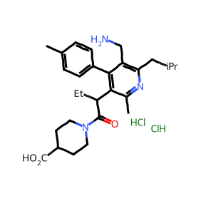 CCC(C(=O)N1CCC(C(=O)O)CC1)c1c(C)nc(CC(C)C)c(CN)c1-c1ccc(C)cc1.Cl.Cl